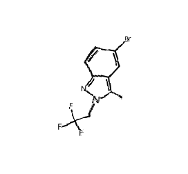 Cc1c2cc(Br)ccc2nn1CC(F)(F)F